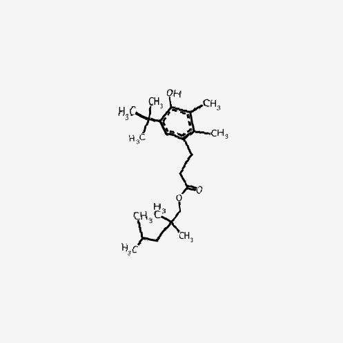 Cc1c(CCC(=O)OCC(C)(C)CC(C)C)cc(C(C)(C)C)c(O)c1C